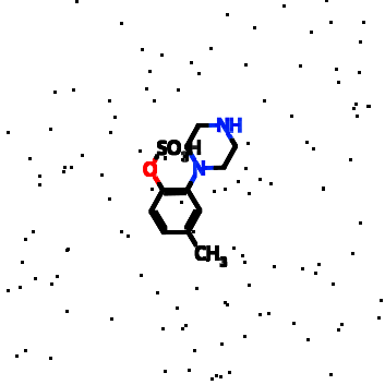 Cc1ccc(OS(=O)(=O)O)c(N2CCNCC2)c1